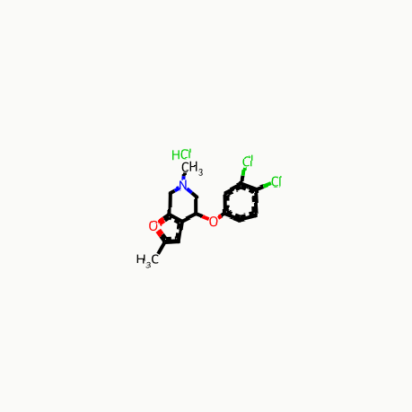 Cc1cc2c(o1)CN(C)CC2Oc1ccc(Cl)c(Cl)c1.Cl